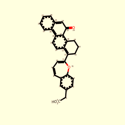 O=C(O)Cc1ccc2c(c1)C=CC=C(C1=c3ccc4c(c3CCC1)C(=O)C=c1ccccc1=4)O2